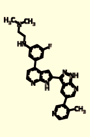 Cc1ccncc1-c1cnc2[nH]nc(-c3cc4c(-c5cc(F)cc(NCCN(C)C)c5)ccnc4[nH]3)c2c1